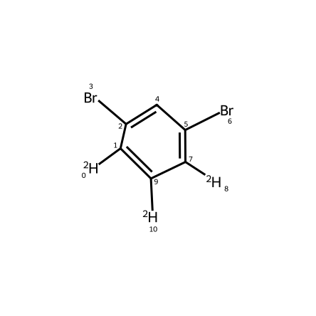 [2H]c1c(Br)cc(Br)c([2H])c1[2H]